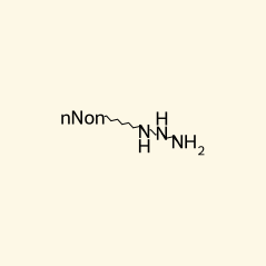 CCCCCCCCCCCCCCCCNCCNCCN